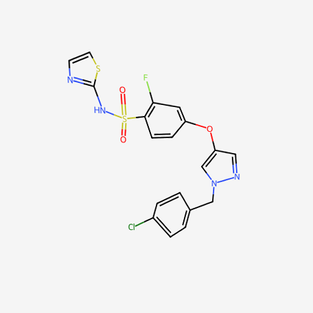 O=S(=O)(Nc1nccs1)c1ccc(Oc2cnn(Cc3ccc(Cl)cc3)c2)cc1F